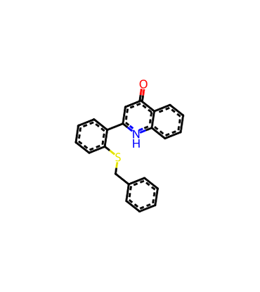 O=c1cc(-c2ccccc2SCc2ccccc2)[nH]c2ccccc12